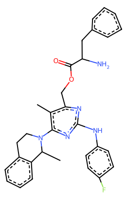 Cc1c(COC(=O)C(N)Cc2ccccc2)nc(Nc2ccc(F)cc2)nc1N1CCc2ccccc2C1C